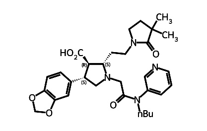 CCCCN(C(=O)CN1C[C@H](c2ccc3c(c2)OCO3)[C@@H](C(=O)O)[C@@H]1CCN1CCC(C)(C)C1=O)c1cccnc1